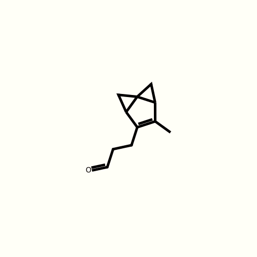 CC1=C(CCC=O)C2CC23CC13